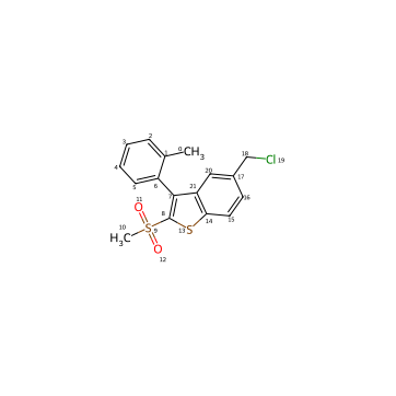 Cc1ccccc1-c1c(S(C)(=O)=O)sc2ccc(CCl)cc12